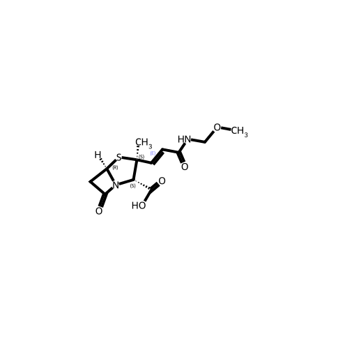 COCNC(=O)/C=C/[C@]1(C)S[C@@H]2CC(=O)N2[C@H]1C(=O)O